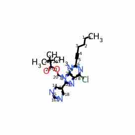 CCCCC#Cc1nc(Cl)c2nc(-c3cncnc3)n(COC(=O)C(C)(C)C)c2n1